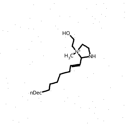 CCCCCCCCCCCCCCCC=CC1NCC[N+]1(C)CCO